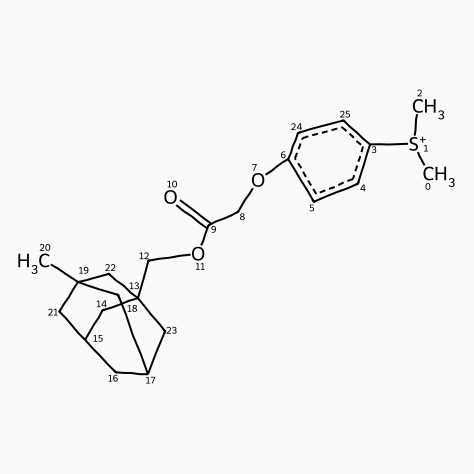 C[S+](C)c1ccc(OCC(=O)OCC23CC4CC(CC(C)(C4)C2)C3)cc1